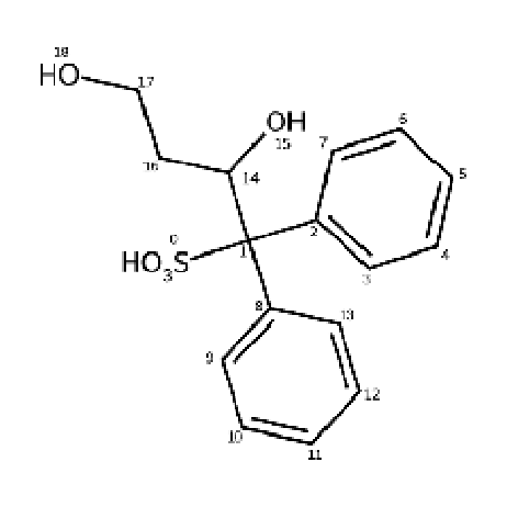 O=S(=O)(O)C(c1ccccc1)(c1ccccc1)C(O)CCO